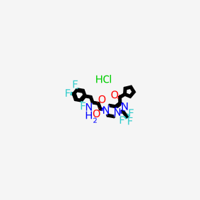 Cl.NC(Cc1cc(F)c(F)cc1F)C(=O)C(=O)N1CCn2c(C(F)(F)F)nc(C(=O)C3CCCC3)c2C1